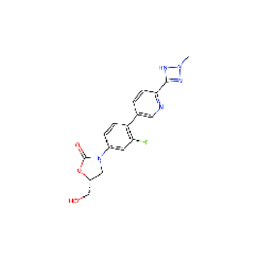 Cn1nc(-c2ccc(-c3ccc(N4C[C@H](CO)OC4=O)cc3F)cn2)[nH]1